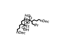 CCCCCCCCCCCCCC(CC(C)C)C(CC)(OO)OOC(CC)(OO)C(CCCCCCCCCCCCC)CC(C)C